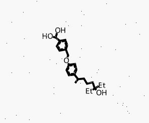 CCC(O)(CC)CCCC(C)c1ccc(OCc2ccc(C(O)O)cc2)cc1